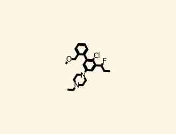 CCC(F)c1cc(N2CCN(CC)CC2)cc(-c2ccccc2COC)c1Cl